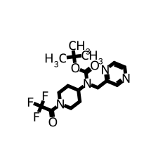 CC(C)(C)OC(=O)N(Cc1cnccn1)C1CCN(C(=O)C(F)(F)F)CC1